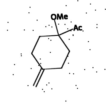 C=C1CCC(OC)(C(C)=O)CC1